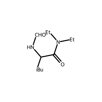 CCC(C)C(N[C]=O)C(=O)N(CC)CC